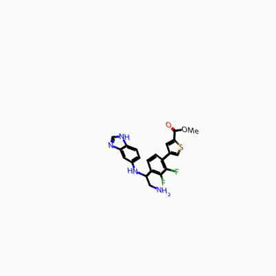 COC(=O)c1cc(-c2ccc(C(CN)Nc3ccc4[nH]cnc4c3)c(F)c2F)cs1